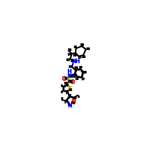 Cc1noc(C)c1-c1ccc(S(=O)(=O)Nc2ccccc2CNCC(C)C2CCCCC2)s1